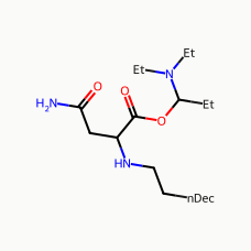 CCCCCCCCCCCCNC(CC(N)=O)C(=O)OC(CC)N(CC)CC